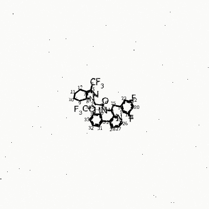 O=C(Cn1nc(C(F)(F)F)c2c1CCCC2)NC(Cc1cc(F)cc(F)c1)c1ncccc1-c1cccc(OC(F)(F)F)c1